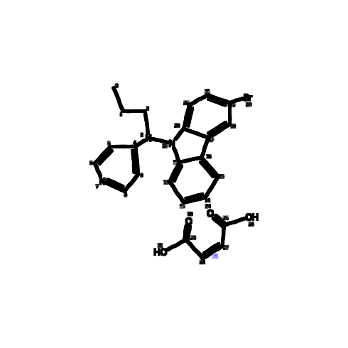 CCCN(c1ccncc1)n1c2ccccc2c2cc(Br)ccc21.O=C(O)/C=C\C(=O)O